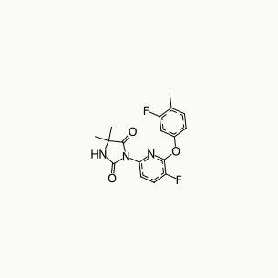 Cc1ccc(Oc2nc(N3C(=O)NC(C)(C)C3=O)ccc2F)cc1F